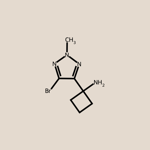 Cn1nc(Br)c(C2(N)CCC2)n1